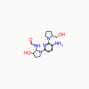 Nc1ccc(N2CCC(O)C2NC=O)nc1N1CCCC1CO